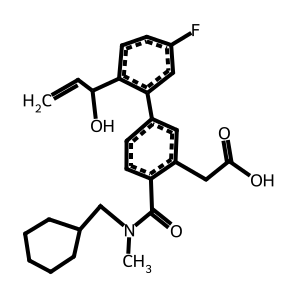 C=CC(O)c1ccc(F)cc1-c1ccc(C(=O)N(C)CC2CCCCC2)c(CC(=O)O)c1